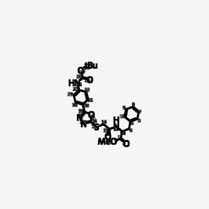 COC(=O)[C@H](Cc1ccccc1)NC(=O)CSc1nnc(-c2ccc(NC(=O)OC(C)(C)C)cc2)o1